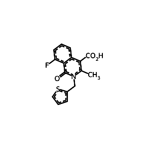 Cc1c(C(=O)O)c2cccc(F)c2c(=O)n1Cc1cccs1